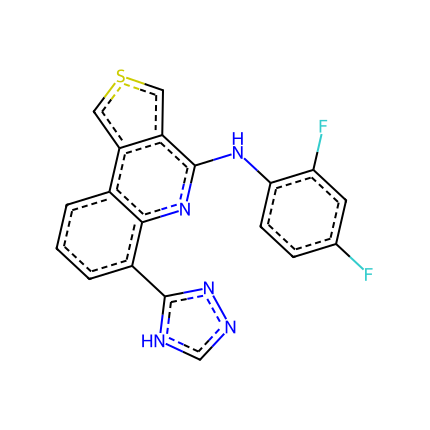 Fc1ccc(Nc2nc3c(-c4nnc[nH]4)cccc3c3cscc23)c(F)c1